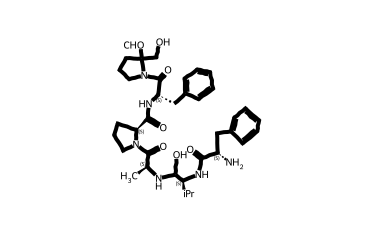 CC(C)[C@H](NC(=O)[C@@H](N)Cc1ccccc1)C(O)N[C@@H](C)C(=O)N1CCC[C@H]1C(=O)N[C@@H](Cc1ccccc1)C(=O)N1CCCC1(C=O)CO